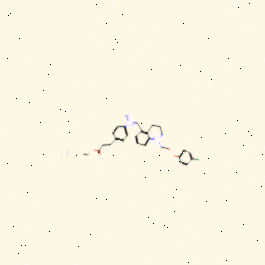 CCOC(=O)CCc1ccc(N(C)Cc2cccc3c2CCCN3CCOc2ccc(F)cc2)cc1F